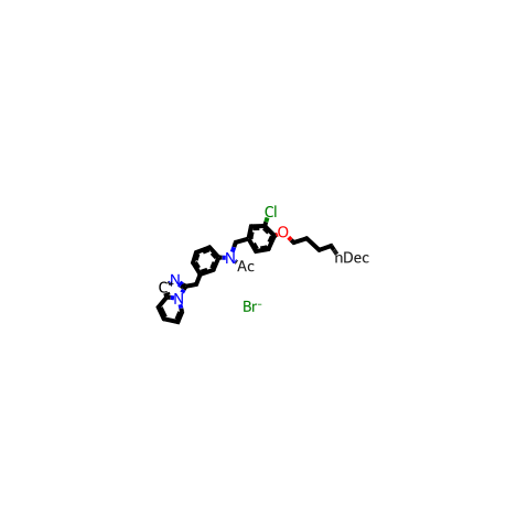 CCCCCCCCCCCCCCOc1ccc(CN(C(C)=O)c2cccc(CC3=N[C+]=C4C=CC=CN43)c2)cc1Cl.[Br-]